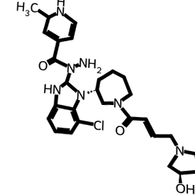 CC1C=C(C(=O)N(N)C2Nc3cccc(Cl)c3N2[C@@H]2CCCCN(C(=O)/C=C/CN3CC[C@@H](O)C3)C2)C=CN1